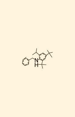 CC(C)c1cc(C(C)(C)C)cc(C(C)(C)C)c1NCc1ccccc1